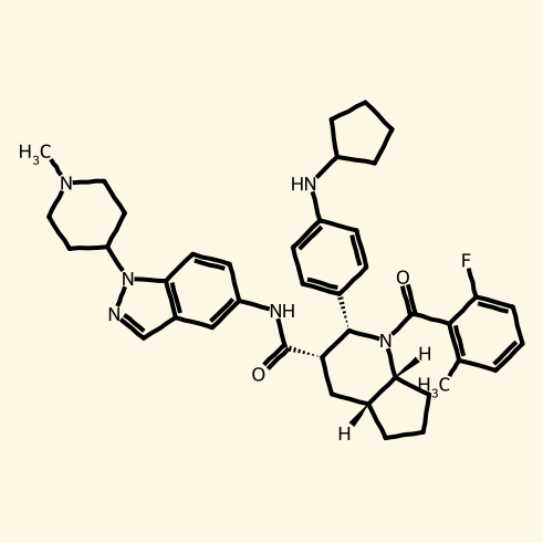 Cc1cccc(F)c1C(=O)N1[C@@H]2CCC[C@@H]2C[C@H](C(=O)Nc2ccc3c(cnn3C3CCN(C)CC3)c2)[C@@H]1c1ccc(NC2CCCC2)cc1